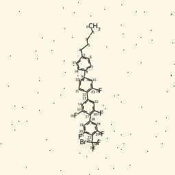 CCCCCc1ccc(-c2ccc(-c3cc(F)c(-c4cc(F)c(C(F)(F)Br)c(F)c4)c(F)c3)c(F)c2)cc1